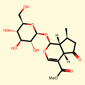 COC(=O)C1=CO[C@@H](O[C@@H]2O[C@H](CO)[C@@H](O)[C@H](O)[C@H]2O)[C@H]2[C@@H]1C(=O)C[C@@H]2C